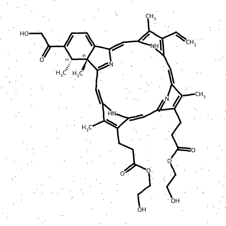 C=Cc1c(C)c2cc3nc(cc4[nH]c(cc5nc(cc1[nH]2)C(C)=C5CCC(=O)OCCO)c(CCC(=O)OCCO)c4C)[C@@]1(C)C3=CC=C(C(=O)CO)[C@H]1C